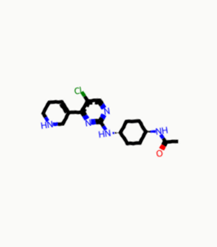 CC(=O)N[C@H]1CC[C@H](Nc2ncc(Cl)c(C3=CCCNC3)n2)CC1